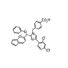 O=C(O)c1ccc(Cn2cc(-c3ccc(Cl)cc3Cl)nc2C(Oc2ccccc2)c2ccc3cccc-3o2)cc1